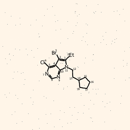 CCc1c(Br)c2c(Cl)ncnc2n1CCC1CCCC1